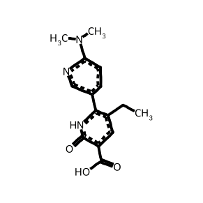 CCc1cc(C(=O)O)c(=O)[nH]c1-c1ccc(N(C)C)nc1